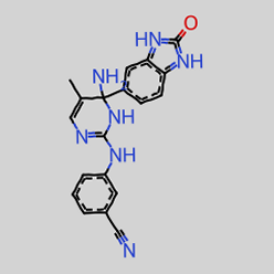 CC1=CN=C(Nc2cccc(C#N)c2)NC1(N)c1ccc2[nH]c(=O)[nH]c2c1